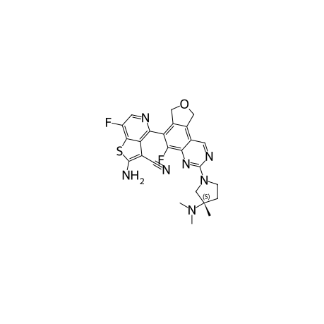 CN(C)[C@@]1(C)CCN(c2ncc3c4c(c(-c5ncc(F)c6sc(N)c(C#N)c56)c(F)c3n2)COC4)C1